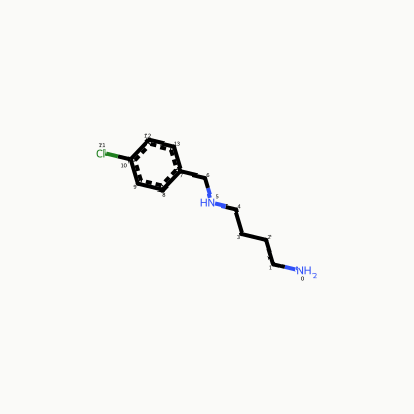 NCCCCNCc1ccc(Cl)cc1